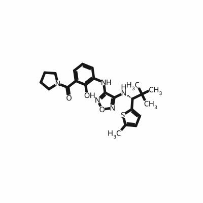 Cc1ccc([C@H](Nc2nonc2Nc2cccc(C(=O)N3CCCC3)c2O)C(C)(C)C)s1